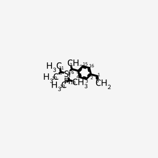 C=Cc1ccc(C(C)[SiH](C(C)C)C(C)C)cc1